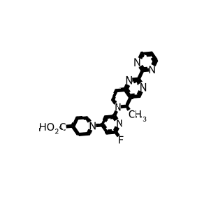 CC1c2cnc(-c3ncccn3)nc2CCN1c1cc(N2CCC(C(=O)O)CC2)cc(F)n1